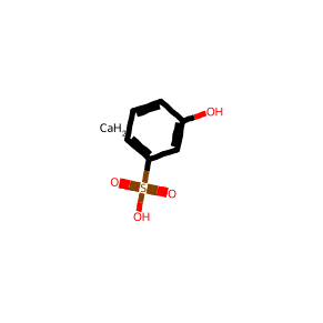 O=S(=O)(O)c1cccc(O)c1.[CaH2]